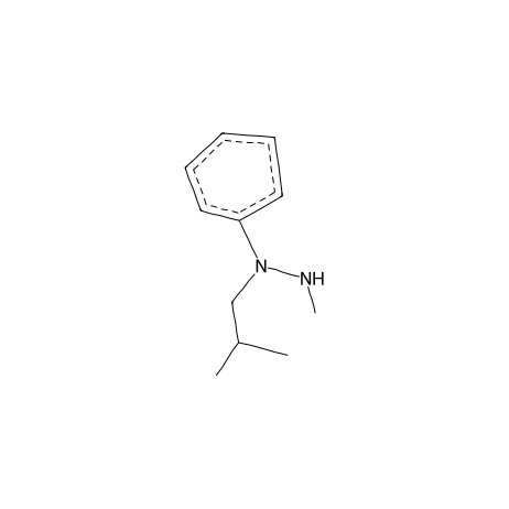 CNN(CC(C)C)c1ccccc1